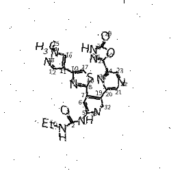 CCNC(=O)Nc1cc(-c2nc(-c3cnn(C)c3)cs2)c(-c2cncc(-c3n[nH]c(=O)o3)n2)cn1